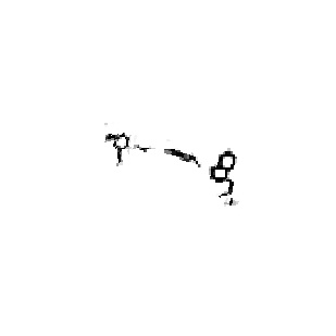 COC(=O)C1CCC(NCCCNC(=O)CCCOc2ccc(C=C3SC(=O)NC3=O)c3ccccc23)C(C(=O)OC)C1